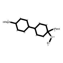 CCCCCCCC1CCC(C2CCC(CCCCC)(OCC)CC2)CC1